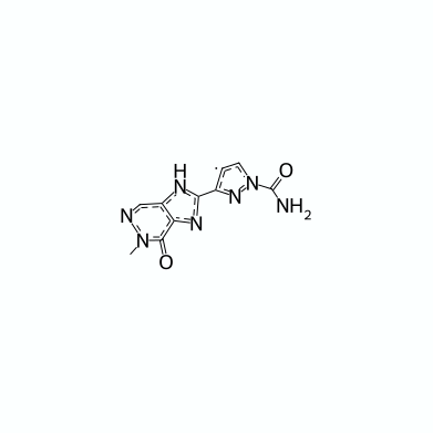 Cn1ncc2[nH]c(-c3[c]cn(C(N)=O)n3)nc2c1=O